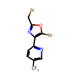 FC(F)(F)c1ccc(-c2nc(CBr)oc2Br)nc1